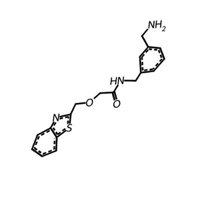 NCc1cccc(CNC(=O)COCc2nc3ccccc3s2)c1